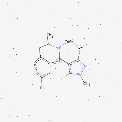 CON(C(=O)c1c(C(F)F)nn(C)c1F)C(C)Cc1ccc(Cl)cc1Cl